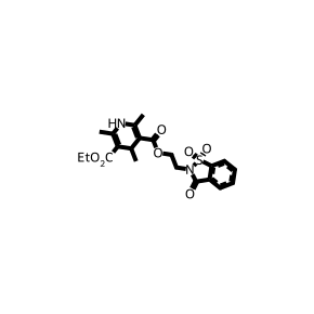 CCOC(=O)C1=C(C)NC(C)=C(C(=O)OCCN2C(=O)c3ccccc3S2(=O)=O)C1C